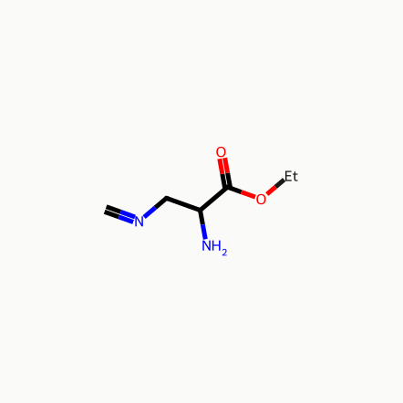 C=NCC(N)C(=O)OCC